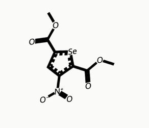 COC(=O)c1cc([N+](=O)[O-])c(C(=O)OC)[se]1